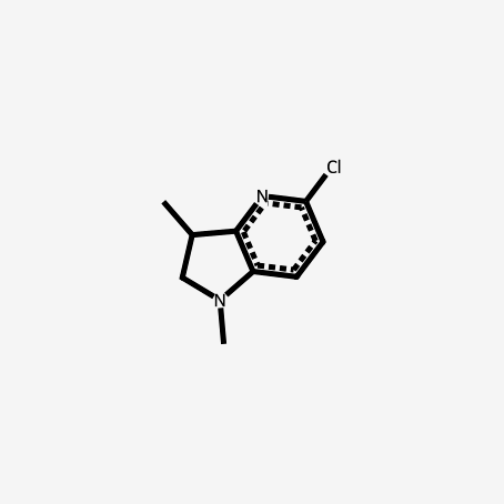 CC1CN(C)c2ccc(Cl)nc21